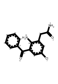 NC(=O)Cc1cc(Cl)cc(C(=O)c2ccccc2)c1N